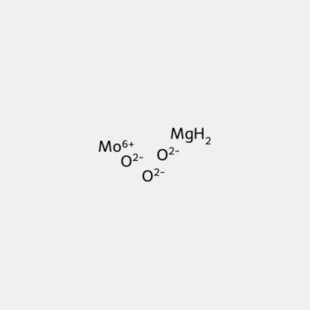 [MgH2].[Mo+6].[O-2].[O-2].[O-2]